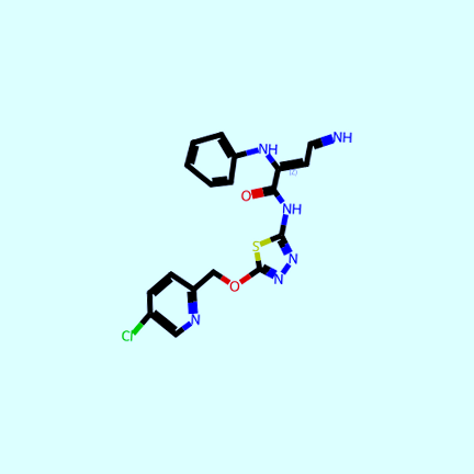 N=C/C=C(\Nc1ccccc1)C(=O)Nc1nnc(OCc2ccc(Cl)cn2)s1